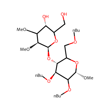 CCCCOCC1O[C@H](OC)C(OCCCC)[C@@H](OCCCC)[C@@H]1O[C@@H]1OC(CO)[C@@H](O)C(OC)[C@@H]1OC